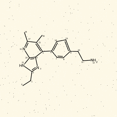 CCc1nc2c(-c3ccc(CCN)cc3)c(C)c(C)nc2[nH]1